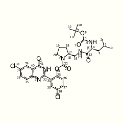 CC(C)C[C@H](NC(=O)OC(C)(C)C)C(=O)NC[C@@H]1CCCN1C(=O)Oc1ccc(Cl)cc1-c1nc2ccc(Cl)cc2c(=O)[nH]1